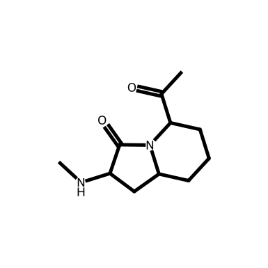 CNC1CC2CCCC(C(C)=O)N2C1=O